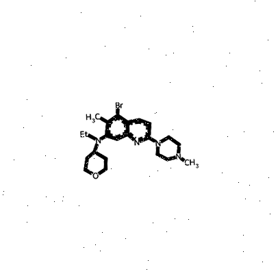 CCN(c1cc2nc(N3CCN(C)CC3)ccc2c(Br)c1C)C1CCOCC1